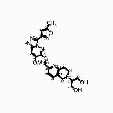 COc1cc2nnc(-c3cc(C)on3)n2nc1OCc1ccc2c(n1)CCN(C(CO)CO)C2